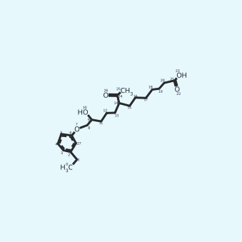 CCc1cccc(OCC(O)CCCC(CCCCCCC(=O)O)C(C)=O)c1